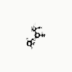 N#Cc1[nH]nnc1-c1cc(OCc2c(F)ccc(F)c2F)cc(C(F)(F)F)c1